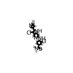 CN(C)C(=O)c1ccc(Nc2cc3[nH]c(-c4cnn(C)c4)c(Cl)c3cn2)c(Cl)c1